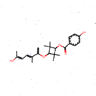 C=C(OC1C(C)(C)C(OC(=O)c2ccc(O)cc2)C1(C)C)/C(C)=C/C=C(\C)O